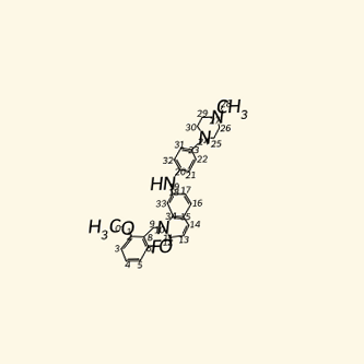 COc1cccc(F)c1Cn1c(=O)ccc2ccc(Nc3ccc(N4CCN(C)CC4)cc3)cc21